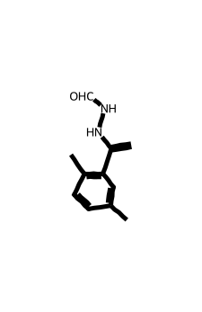 C=C(NNC=O)c1cc(C)ccc1C